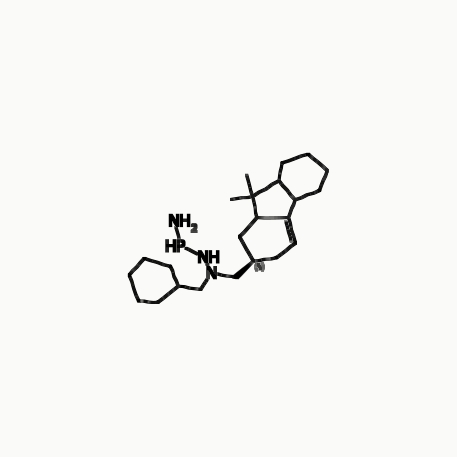 CC1(C)C2C[C@H](CN(CC3CCCCC3)NPN)CC=C2C2CCCCC21